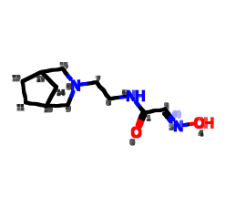 O=C(/C=N/O)NCCN1CC2CCC(C2)C1